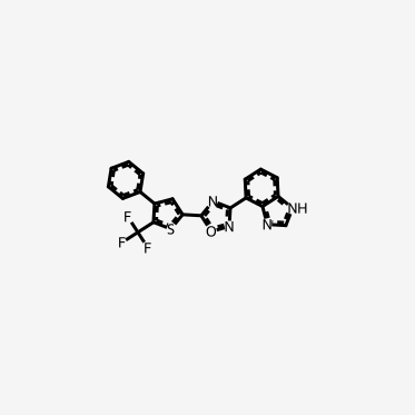 FC(F)(F)c1sc(-c2nc(-c3cccc4[nH]cnc34)no2)cc1-c1ccccc1